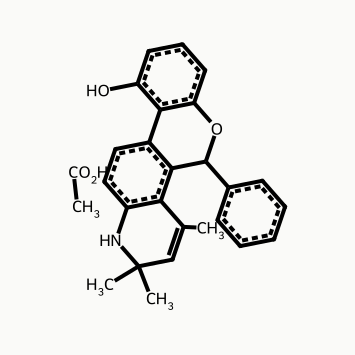 CC(=O)O.CC1=CC(C)(C)Nc2ccc3c(c21)C(c1ccccc1)Oc1cccc(O)c1-3